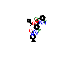 C[C@H](Oc1cc(-n2nc3n(c2=O)CCC2(CC2)C3)c(F)cc1C(=O)Nc1c(F)cccc1Cl)C1CCC1